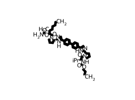 C=CCCCC(C)[C@H](OC(N)=O)C(=O)N1CCC[C@H]1c1ncc(-c2ccc(-c3ccc(-c4cnc(C5CCCN5C(=O)[C@@H](NC(=O)OCCC=C)C(C)C)[nH]4)cc3)cc2)[nH]1